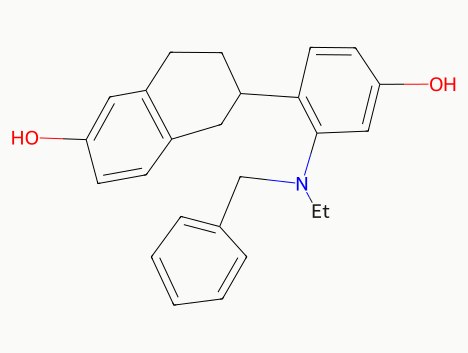 CCN(Cc1ccccc1)c1cc(O)ccc1C1CCc2cc(O)ccc2C1